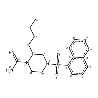 CCCCC1CN(S(=O)(=O)c2cccc3cnccc23)CCN1C(=N)N